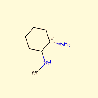 CC(C)NC1CCCC[C@@H]1N